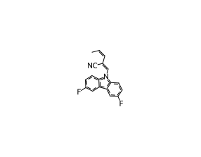 C/C=C\C(C#N)=C\n1c2ccc(F)cc2c2cc(F)ccc21